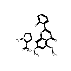 COc1cc(OC)c2c(=O)cc(-c3ccccc3Cl)oc2c1[C@H]1CCN(C)[C@@H]1C(=O)O